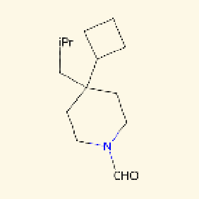 CC(C)CC1(C2CCC2)CCN(C=O)CC1